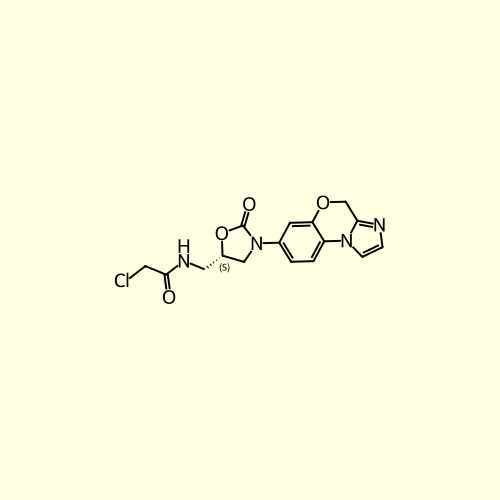 O=C(CCl)NC[C@H]1CN(c2ccc3c(c2)OCc2nccn2-3)C(=O)O1